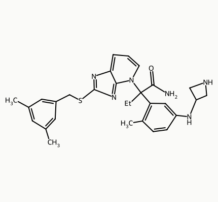 CCC(C(N)=O)(c1cc(NC2CNC2)ccc1C)n1cccc2nc(SCc3cc(C)cc(C)c3)nc1-2